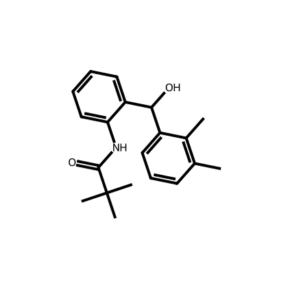 Cc1cccc(C(O)c2ccccc2NC(=O)C(C)(C)C)c1C